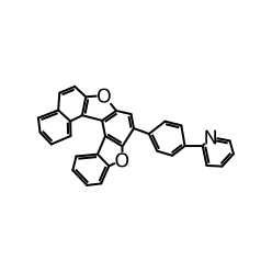 c1ccc(-c2ccc(-c3cc4oc5ccc6ccccc6c5c4c4c3oc3ccccc34)cc2)nc1